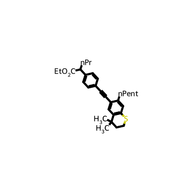 CCCCCc1cc2c(cc1C#Cc1ccc(C(CCC)C(=O)OCC)cc1)C(C)(C)CCS2